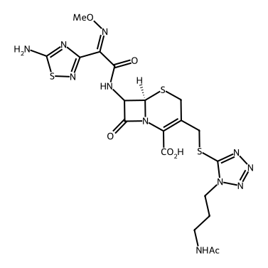 CO/N=C(/C(=O)NC1C(=O)N2C(C(=O)O)=C(CSc3nnnn3CCCNC(C)=O)CS[C@H]12)c1nsc(N)n1